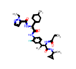 CCC(=O)NC(C(=O)N[C@@H](C)C1CC1)C(C)c1ccc(NC(=O)[C@@H](NC(=O)c2ccnn2CC)C2CCC(C)CC2)c(F)c1